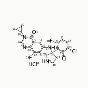 Cl.O=c1c2cc(NC3(c4c(F)ccc(Cl)c4Cl)CCNC3)cc(F)c2ncn1C1CC1